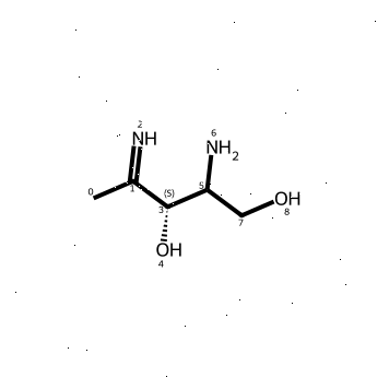 CC(=N)[C@@H](O)C(N)CO